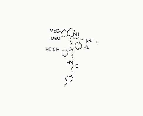 COc1cc2c(cc1OC)C(CCCCN(C)C1CC1)(CCCC(CCCNC(=O)CCc1ccc(F)cc1)(c1ccccc1)c1ccccc1)NCC2.Cl.Cl